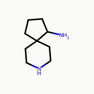 NC1CCCC12CCNCC2